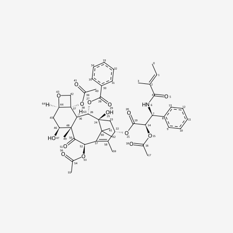 C/C=C(\C)C(=O)N[C@@H](c1ccccc1)[C@@H](OC(C)=O)C(=O)O[C@H]1C[C@@]2(O)[C@@H](OC(=O)c3ccccc3)[C@@H]3[C@]4(OC(C)=O)CO[C@@H]4C[C@H](O)[C@@]3(C)C(=O)[C@H](OC(C)=O)C(=C1C)C2(C)C